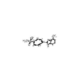 Cc1cccc2[nH]c(-c3ccc(S(C)(=O)=O)cc3)nc12